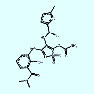 CC[C@@H](NC1=C(OC(N)=O)S(=O)(=O)N=C1Nc1cccc(C(=O)N(C)C)c1O)c1ccc(C)o1